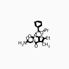 CCc1sc2c(c1C)c(=O)n(CC(N)=O)c(=O)n2C[C@@H](OC(C)C)c1ccccc1